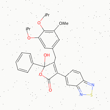 COc1cc(CC2=C(c3ccc4nsnc4c3)C(=O)OC2(O)c2ccccc2)cc(OC(C)C)c1OC(C)C